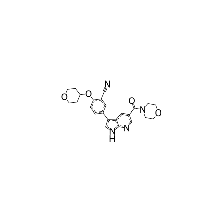 N#Cc1cc(-c2c[nH]c3ncc(C(=O)N4CCOCC4)cc23)ccc1OC1CCOCC1